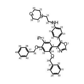 CC(C)c1cc(-c2ncoc2-c2ccc(NCCN3CCOCC3)cc2)c(OCc2ccccc2)cc1OCc1ccccc1